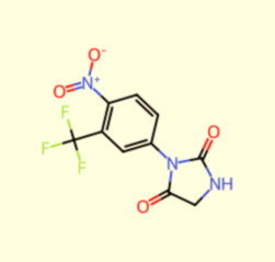 O=C1CNC(=O)N1c1ccc([N+](=O)[O-])c(C(F)(F)F)c1